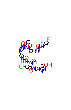 CC(C)N(CCNC(=O)CN1CCC(CN2CCN(C(=O)[C@H](NC(=O)c3cccc(C4CCCN(C(=O)CNCc5ccc(F)cc5F)C4)c3)C3CCCCC3)CC2)CC1)C[C@@H](C(=O)N1CCN(c2ncnc3c2[C@H](C)C[C@H]3O)CC1)c1ccc(Cl)cc1